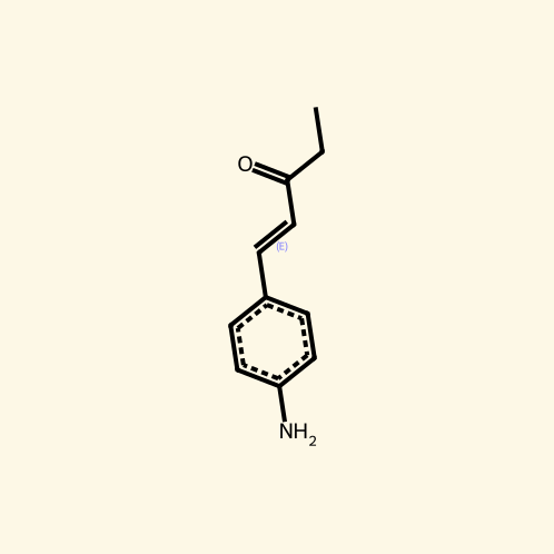 CCC(=O)/C=C/c1ccc(N)cc1